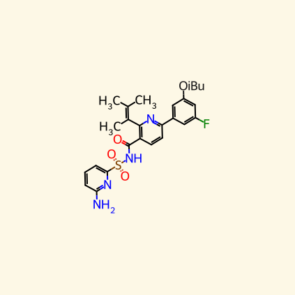 CC(C)=C(C)c1nc(-c2cc(F)cc(OCC(C)C)c2)ccc1C(=O)NS(=O)(=O)c1cccc(N)n1